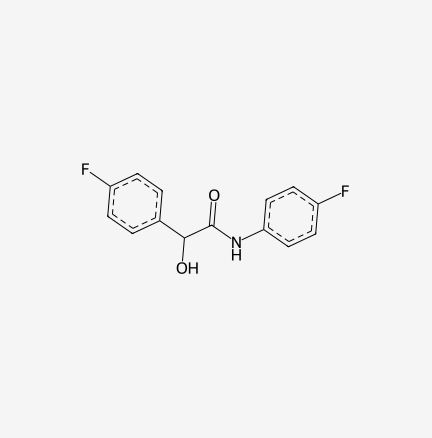 O=C(Nc1ccc(F)cc1)C(O)c1ccc(F)cc1